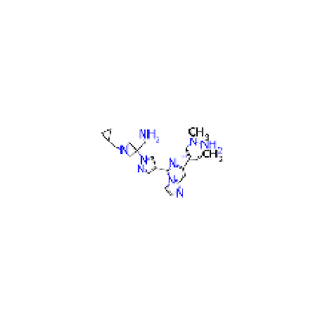 C=C/C(=C\N(C)N)c1cc2nccn2c(-c2cnn(C3(CN)CN(CC4CC4)C3)c2)n1